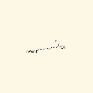 [2H]C(O)CCCCCCCCCCC